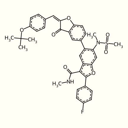 CNC(=O)c1c(-c2ccc(F)cc2)oc2cc(N(C)S(C)(=O)=O)c(-c3ccc4c(c3)C(=O)/C(=C\c3ccc(OC(C)(C)C)cc3)O4)cc12